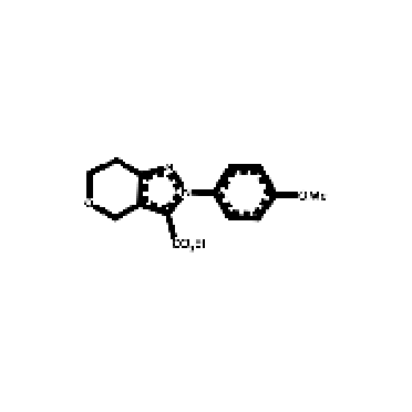 CCOC(=O)c1c2c(nn1-c1ccc(OC)cc1)CCOC2